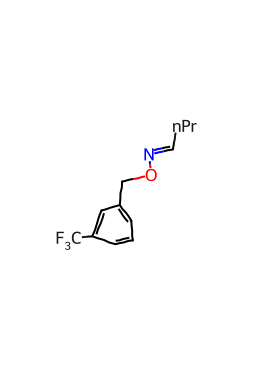 CCCC=NOCc1cccc(C(F)(F)F)c1